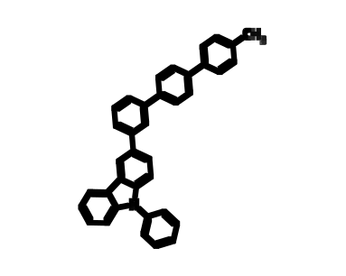 Cc1ccc(-c2ccc(-c3cccc(-c4ccc5c(c4)c4ccccc4n5-c4ccccc4)c3)cc2)cc1